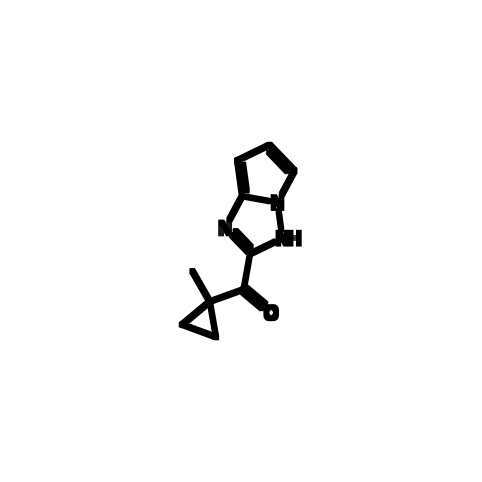 CC1(C(=O)c2nc3cccn3[nH]2)CC1